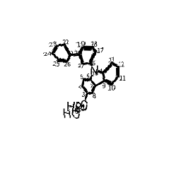 OBOc1ccc2c(c1)c1ccccc1n2-c1cccc(-c2ccccc2)c1